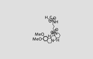 COc1cc2c(cc1OC)[C@@H]1C[C@H]3[C@H](CCCN3S(=O)(=O)CCCNS(C)(=O)=O)CN1CC2